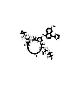 CC[C@@H]1C[C@H](C)CC/C=C\[C@@H]2C[C@@]2(C(=O)NS(=O)(=O)C2(C)CC2)NC(=O)[C@@H]2C[C@@H](Oc3ncc(-c4nccs4)c4cc(OC)ccc34)CN2C(=O)[C@H]1NC(=O)OC(C)(C)C(F)(F)F